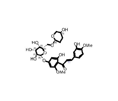 COc1ccc(/C=C/C(=O)c2c(O)cc(O[C@H]3O[C@@H](CO[C@@H]4CC[C@H](O)CO4)[C@@H](O)[C@@H](O)[C@@H]3O)cc2OC)cc1O